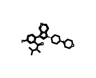 CC(C)N(C)C(=O)c1cc(F)ccc1-n1cc([C@H]2CC[C@H](N3CCOCC3)CC2)c2ccncc21